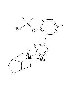 COC(=O)C1C2CCC1CN(c1nc(-c3cc(C)ccc3O[Si](C)(C)C(C)(C)C)cs1)C2